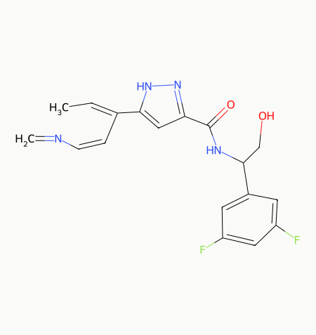 C=N/C=C\C(=C/C)c1cc(C(=O)NC(CO)c2cc(F)cc(F)c2)n[nH]1